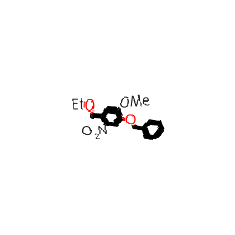 CCOCc1cc(OC)c(OCc2ccccc2)cc1[N+](=O)[O-]